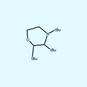 CC(C)(C)C1OCCN(C(C)(C)C)C1C(C)(C)C